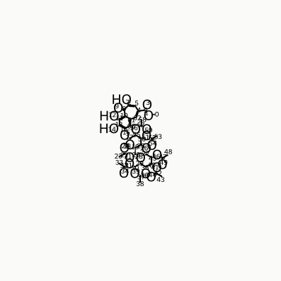 COC(=O)c1cc(O)c(=O)c2c(O)c(O)c(O[C@@H]3O[C@H](COC(C)=O)[C@@H](O[C@H]4O[C@H](COC(C)=O)[C@@H](OC(C)=O)[C@H](OC(C)=O)[C@H]4OC(C)=O)[C@H](OC(C)=O)[C@H]3OC(C)=O)cc2c1